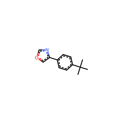 CC(C)(C)c1ccc(-c2cocn2)cc1